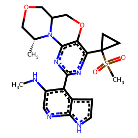 CNc1cnc2[nH]ccc2c1-c1nc2c(c(C3(S(C)(=O)=O)CC3)n1)OCC1COC[C@@H](C)N21